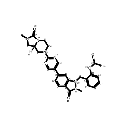 CN1C[C@H]2CN(c3ncc(-c4ccc5c(=O)n(C)n(Cc6ccccc6OC(F)F)c5c4)cn3)CCN2C1=O